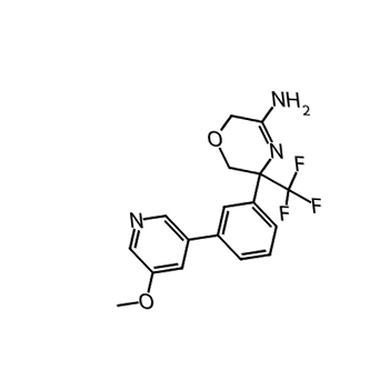 COc1cncc(-c2cccc(C3(C(F)(F)F)COCC(N)=N3)c2)c1